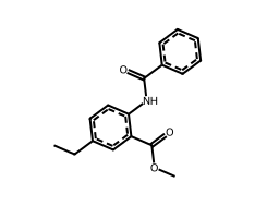 CCc1ccc(NC(=O)c2ccccc2)c(C(=O)OC)c1